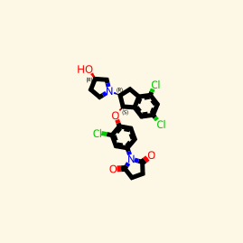 O=C1CCC(=O)N1c1ccc(O[C@H]2c3cc(Cl)cc(Cl)c3C[C@H]2N2CC[C@@H](O)C2)c(Cl)c1